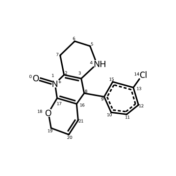 O=[N+]1C2=C(NCCC2)C(c2cccc(Cl)c2)C2=C1OCC=C2